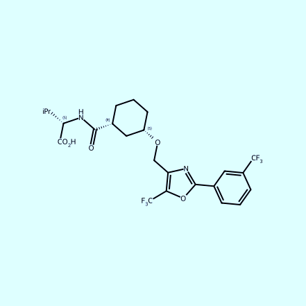 CC(C)[C@H](NC(=O)[C@@H]1CCC[C@H](OCc2nc(-c3cccc(C(F)(F)F)c3)oc2C(F)(F)F)C1)C(=O)O